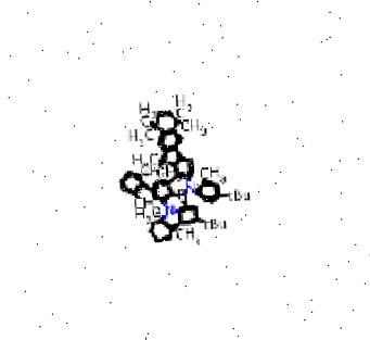 Cc1cc(C(C)(C)C)ccc1N1B2c3cc(C(C)(C)C)cc4c3N(c3cc(-c5c(C)cccc5C)cc(c32)-c2c1ccc1c2C(C)(C)c2cc3c(cc2-1)C(C)(C)CCC3(C)C)C1(C)CCCCC41C